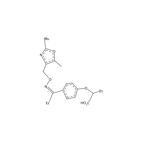 CC/C(=N/OCc1nc(C(C)(C)C)oc1C)c1ccc(OC(CC)C(=O)O)cc1